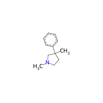 CN1CCC(C)(c2ccccc2)C1